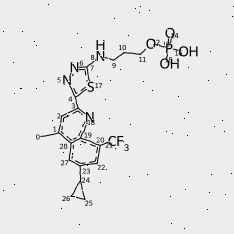 Cc1cc(-c2nnc(NCCCOP(=O)(O)O)s2)nc2c(C(F)(F)F)cc(C3CC3)cc12